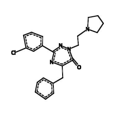 O=c1c(Cc2ccccc2)nc(-c2cccc(Cl)c2)nn1CCN1CCCC1